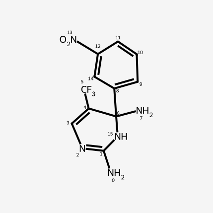 NC1=NC=C(C(F)(F)F)C(N)(c2cccc([N+](=O)[O-])c2)N1